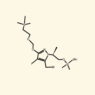 C[C@@H](CO[Si](C)(C)C(C)(C)C)n1nc(OCOCC[Si](C)(C)C)c(I)c1CBr